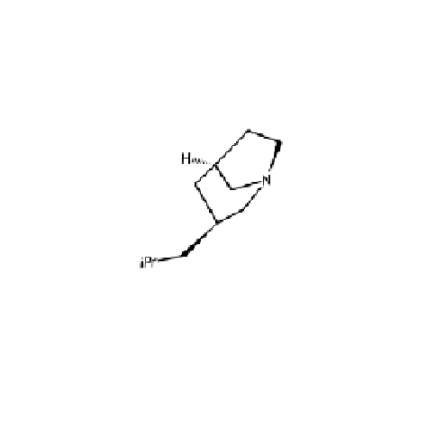 CC(C)C[C@H]1C[C@H]2CC[N@](C2)C1